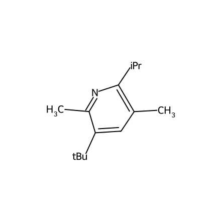 Cc1cc(C(C)(C)C)c(C)nc1C(C)C